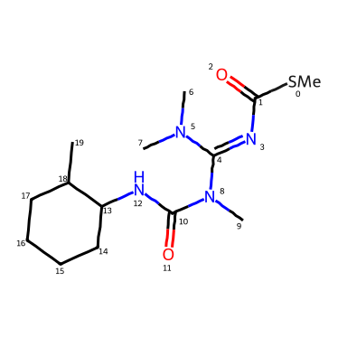 CSC(=O)N=C(N(C)C)N(C)C(=O)NC1CCCCC1C